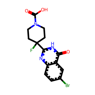 O=C(O)N1CCC(F)(c2nc3ccc(Br)cc3c(=O)[nH]2)CC1